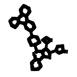 C1=NC(c2c(-c3cc[nH]c3)sc3c2c(-c2ccc(-c4ccc5c6ccccc6c6ccccc6c5c4)cc2)nc2ccccc23)=C1